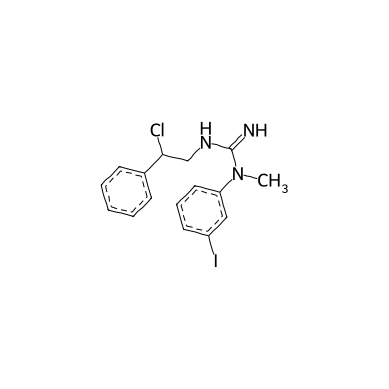 CN(C(=N)NCC(Cl)c1ccccc1)c1cccc(I)c1